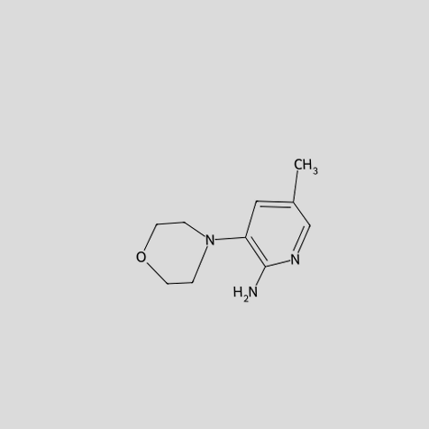 Cc1cnc(N)c(N2CCOCC2)c1